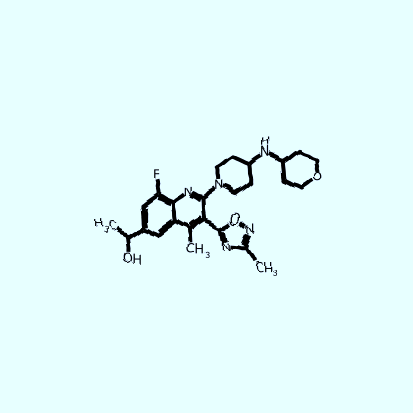 Cc1noc(-c2c(N3CCC(NC4CCOCC4)CC3)nc3c(F)cc(C(C)O)cc3c2C)n1